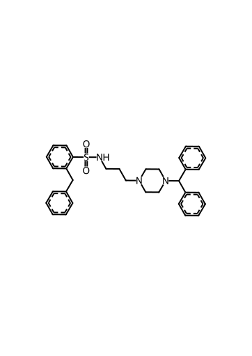 O=S(=O)(NCCCN1CCN(C(c2ccccc2)c2ccccc2)CC1)c1ccccc1Cc1ccccc1